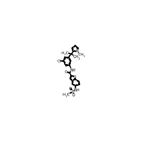 Cn1cccc1C(C)(C)c1cc(Cl)cc(NC(=O)c2cc3cc(NS(C)(=O)=O)ccc3s2)c1